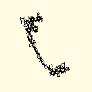 N=C(NC(=O)c1ccc(N2CCN(CC(=O)NCCOCCOCCOCCOCCNc3cccc4c3C(=O)N(C3CCC(=O)NC3=O)C4=O)CC2)cc1NC1CCOCC1)c1cc(Cc2cc(F)cc(F)c2)ccc1N